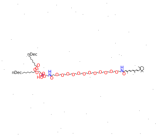 CCCCCCCCCCCCCCCCCC(=O)OC[C@H](COP(=O)(O)OCCNC(=O)CCOCCOCCOCCOCCOCCOCCOCCOCCOCCOCCOCCOCCNC(=O)/C=C(C)/C=C/C=C(C)/C=C/C1=C(C)CCCC1(C)C)OC(=O)CCCCCCCCCCCCCCCCC